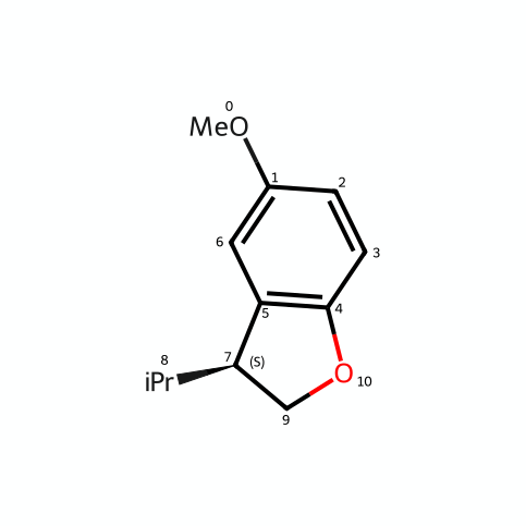 COc1ccc2c(c1)[C@H](C(C)C)CO2